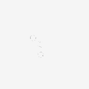 COc1ccc(NN=Cc2cccc[n+]2CCCS(=O)(=O)O)cc1